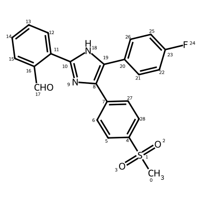 CS(=O)(=O)c1ccc(-c2nc(-c3ccccc3C=O)[nH]c2-c2ccc(F)cc2)cc1